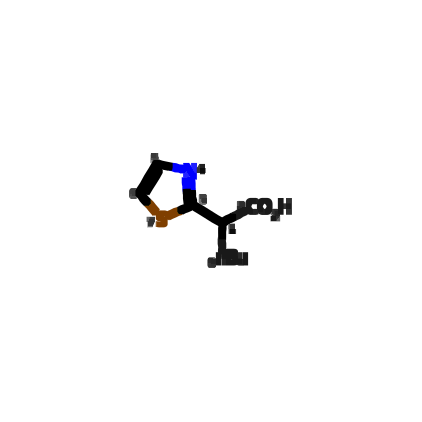 CCCCC(C(=O)O)c1nccs1